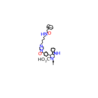 CC#CN1Cc2[nH]c3ccccc3c2C(c2ccc(C(=O)N3CCN(CCCCCCNC(=O)CC45CC6CC(CC(C6)C4)C5)CC3)cc2)C1C(=O)O